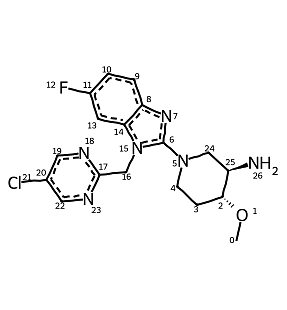 CO[C@@H]1CCN(c2nc3ccc(F)cc3n2Cc2ncc(Cl)cn2)C[C@H]1N